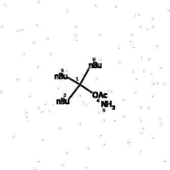 CCCCC(CCCC)(CCCC)OC(C)=O.N